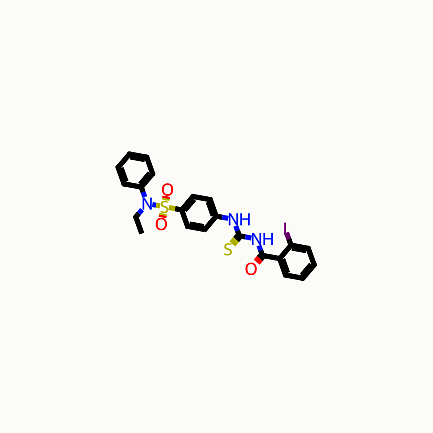 CCN(c1ccccc1)S(=O)(=O)c1ccc(NC(=S)NC(=O)c2ccccc2I)cc1